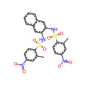 Cc1cc([N+](=O)[O-])ccc1S(=O)(=O)Nc1cc2ccccc2cc1NS(=O)(=O)c1ccc([N+](=O)[O-])cc1C